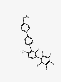 CC(=O)Sc1ccc(-c2ccc(-c3c(C(F)(F)F)ccc(-c4c(F)c(F)c(F)c(F)c4F)c3F)cc2)cc1